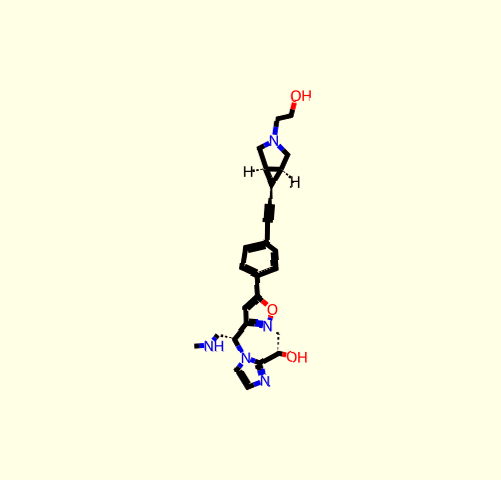 CNC[C@H](c1cc(-c2ccc(C#C[C@H]3[C@H]4CN(CCO)C[C@@H]34)cc2)on1)n1ccnc1[C@H](C)O